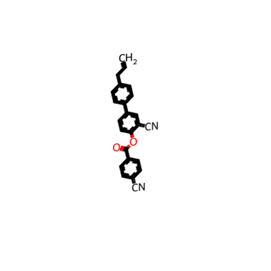 C=CCc1ccc(-c2ccc(OC(=O)c3ccc(C#N)cc3)c(C#N)c2)cc1